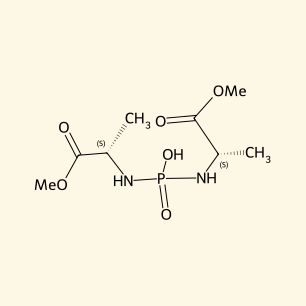 COC(=O)[C@H](C)NP(=O)(O)N[C@@H](C)C(=O)OC